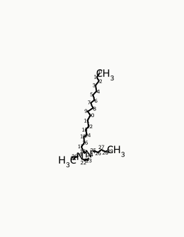 CCCCCCCCCCCCCCCCCCc1n(CC)cc[n+]1CCCCC